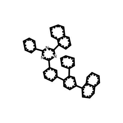 c1ccc(-c2nc(-c3cccc(-c4ccc(-c5cccc6ccccc56)cc4-c4ccccc4)c3)nc(-c3cccc4ccccc34)n2)cc1